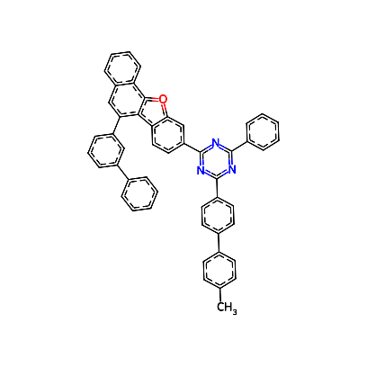 Cc1ccc(-c2ccc(-c3nc(-c4ccccc4)nc(-c4ccc5c(c4)oc4c6ccccc6cc(-c6cccc(-c7ccccc7)c6)c54)n3)cc2)cc1